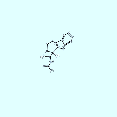 CC(=O)NC(C)C1(C)OCCc2c1[nH]c1ccccc21